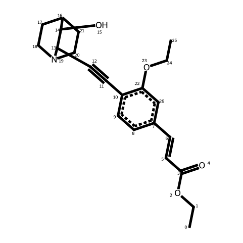 CCOC(=O)C=Cc1ccc(C#CC2C(O)C3CCN2CC3)c(OCC)c1